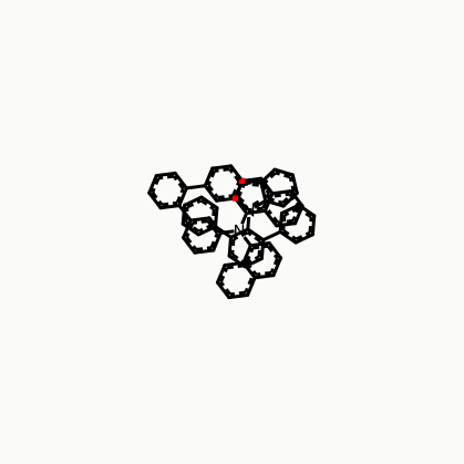 c1ccc(-c2cccc(-c3ccccc3)c2-n2c3ccccc3c3ccc(-c4ccccc4-c4cccc(N(c5cccc6ccccc56)c5cccc6ccccc56)c4)cc32)cc1